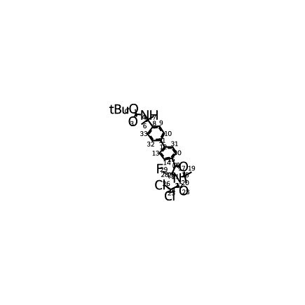 CC(C)(C)OC(=O)NC(C)(C)c1ccc(-c2ccc([C@H]3OC(C)(C)N(C(=O)C(Cl)Cl)[C@@H]3CF)cc2)cc1